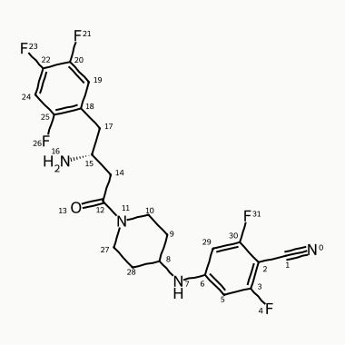 N#Cc1c(F)cc(NC2CCN(C(=O)C[C@H](N)Cc3cc(F)c(F)cc3F)CC2)cc1F